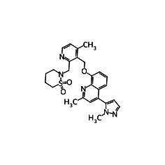 Cc1cc(-c2ccnn2C)c2cccc(OCc3c(C)ccnc3CN3CCCCS3(=O)=O)c2n1